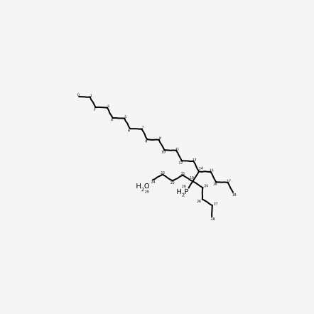 CCCCCCCCCCCCCCC(CCCC)C(P)(CCCC)CCCC.O